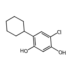 Oc1cc(O)c(C2CCCCC2)cc1Cl